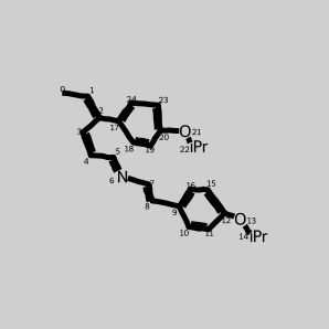 C\C=C(/C=C\C=N\C=C\c1ccc(OC(C)C)cc1)c1ccc(OC(C)C)cc1